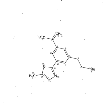 C=C(C)c1cc(CCC(C)(C)C)cc(-c2ncc(C)s2)c1